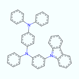 c1ccc(N(c2ccccc2)c2ccc(N(c3ccccc3)c3cccc(-n4c5ccccc5c5ccccc54)c3)cc2)cc1